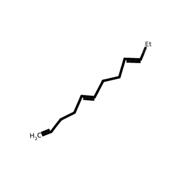 C=CCCC=CCCC=CCC